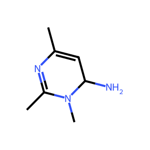 CC1=CC(N)N(C)C(C)=N1